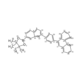 CC1(C)OB(c2ccc3ccc(-c4ccc(-c5cc6cccnc6c6ncccc56)cc4)nc3c2)OC1(C)C